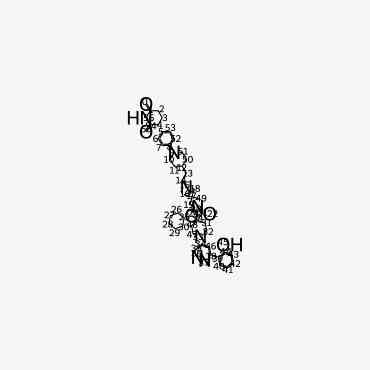 O=C1CC[C@H](c2ccc(N3CCC(CCN4CC5(C4)CN(C(=O)C4(OC6CCCCC6)CCN(c6cnnc(-c7ccccc7O)c6)CC4)C5)CC3)cc2)C(=O)N1